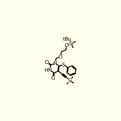 CC(C)(C)[Si](C)(C)OCCOCn1c(Sc2ccccc2)c(C#C[Si](C)(C)C)c(=O)[nH]c1=O